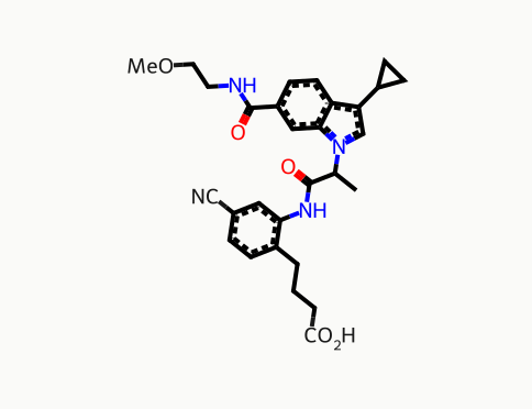 COCCNC(=O)c1ccc2c(C3CC3)cn(C(C)C(=O)Nc3cc(C#N)ccc3CCCC(=O)O)c2c1